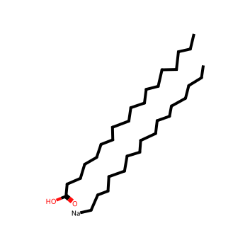 CCCCCCCCCCCCCCCCCC(=O)O.CCCCCCCCCCCCCCC[CH2][Na]